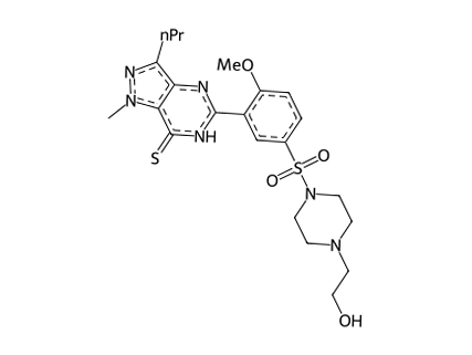 CCCc1nn(C)c2c(=S)[nH]c(-c3cc(S(=O)(=O)N4CCN(CCO)CC4)ccc3OC)nc12